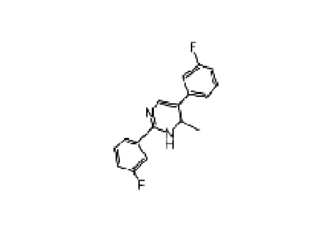 CC1NC(c2cccc(F)c2)=NC=C1c1cccc(F)c1